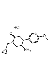 COc1ccc(C2CC(=O)N(CC3CC3)CC2N)cc1.Cl